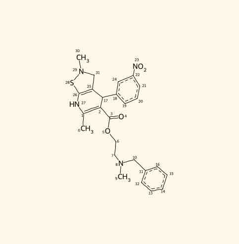 CC1=C(C(=O)OCCN(C)Cc2ccccc2)C(c2cccc([N+](=O)[O-])c2)C2=C(N1)SN(C)C2